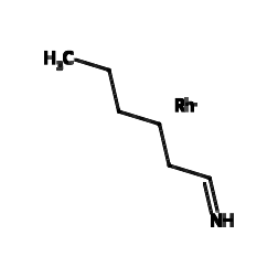 CCCCCC=N.[Rh]